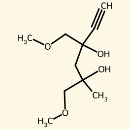 C#CC(O)(COC)CC(C)(O)COC